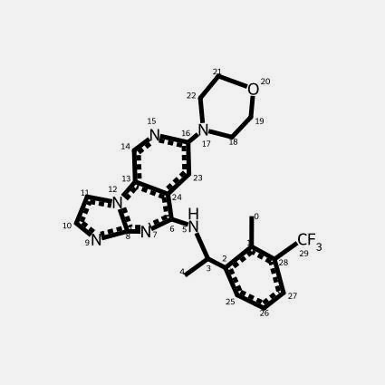 Cc1c(C(C)Nc2nc3nccn3c3cnc(N4CCOCC4)cc23)cccc1C(F)(F)F